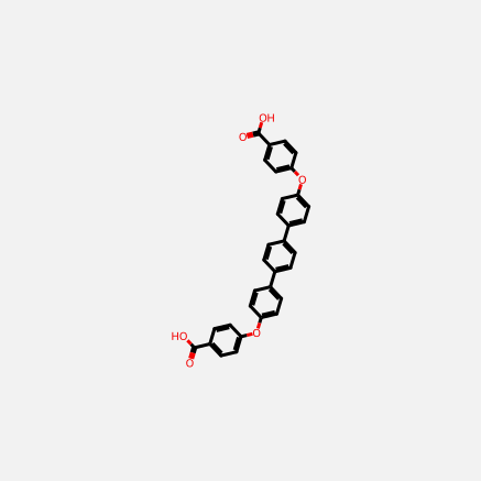 O=C(O)c1ccc(Oc2ccc(-c3ccc(-c4ccc(Oc5ccc(C(=O)O)cc5)cc4)cc3)cc2)cc1